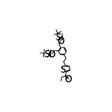 CCC(=O)c1ccc(CCc2ccc(CO[Si](C)(C)C(C)(C)C)c(CO[Si](C)(C)C(C)(C)C)c2)s1